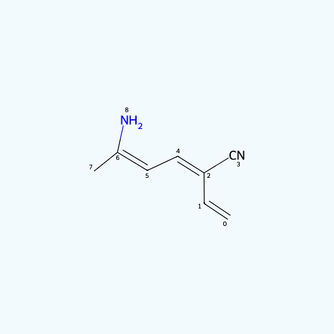 C=C/C(C#N)=C\C=C(\C)N